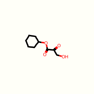 O=C(CO)C(=O)OC1CCCCC1